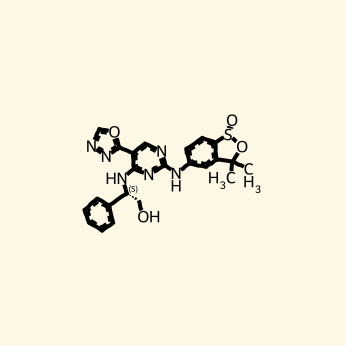 CC1(C)OS(=O)c2ccc(Nc3ncc(-c4nnco4)c(N[C@H](CO)c4ccccc4)n3)cc21